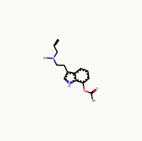 C=CCN(CC)CCc1c[nH]c2c(OC(=O)C(C)C)cccc12